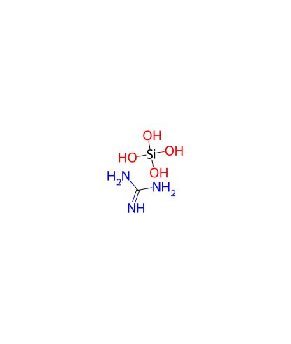 N=C(N)N.O[Si](O)(O)O